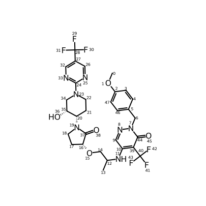 COc1ccc(Cn2ncc(NC(C)CO[C@@H]3CCN([C@H]4CCN(c5ncc(C(F)(F)F)cn5)C[C@H]4O)C3=O)c(C(F)(F)F)c2=O)cc1